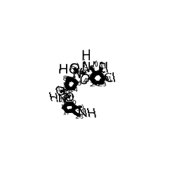 C[C@H](NC(=O)N(O)c1ccc(S(=O)(=O)Nc2ccc3c(c2)CNC3)cc1)c1cccc(Cl)c1Cl